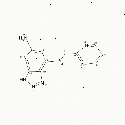 Nc1cc(SCc2ncccn2)c2nn[nH]c2n1